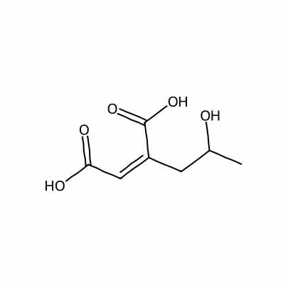 CC(O)C/C(=C/C(=O)O)C(=O)O